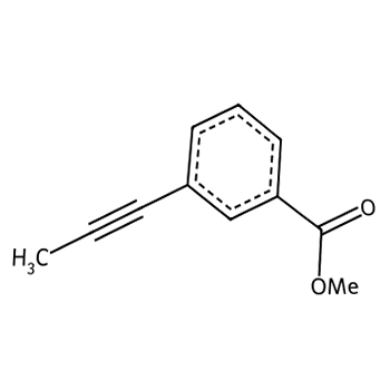 CC#Cc1cccc(C(=O)OC)c1